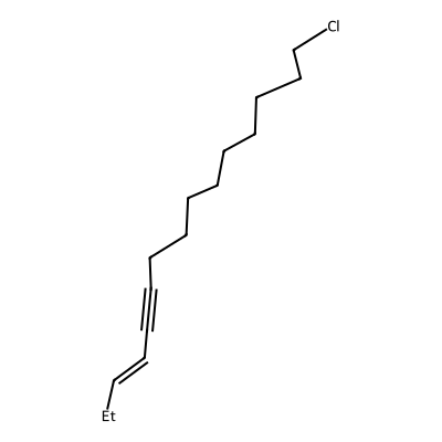 CCC=CC#CCCCCCCCCCCl